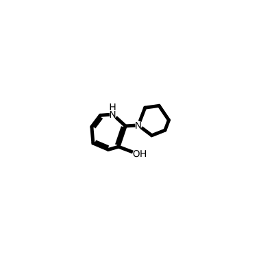 OC1=C(N2CCCCC2)NC=CC=C1